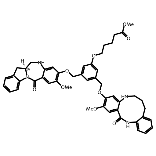 COC(=O)CCCCOc1cc(COc2cc3c(cc2OC)C(=O)Nc2ccccc2CCCN3)cc(COc2cc3c(cc2OC)C(=O)N2c4ccccc4C[C@H]2CN3)c1